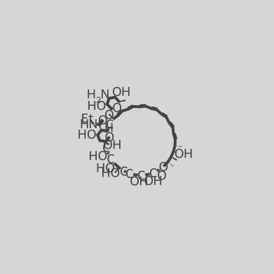 CCNC(=O)[C@H]1[C@@H]2C[C@@H](O[C@@H]3O[C@H](C)[C@@H](O)[C@H](N)[C@@H]3O)/C=C/C=C/C=C/C=C/C=C/C=C/C=C/[C@H](C)[C@@H](O)[C@@H](C)[C@H](C)OC(=O)C[C@H](O)C[C@H](O)CC[C@@H](O)[C@H](O)C[C@H](O)C[C@](O)(C[C@@H]1O)O2